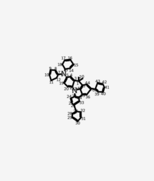 CC1(C)c2cc(N(C3=CC=CCC3)C3C=CC=CC3)ccc2-n2c3ccc(-c4ccccc4)cc3c3cc(-c4ccccc4)cc1c32